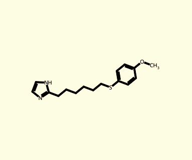 COc1ccc(SCCCCCCc2ncc[nH]2)cc1